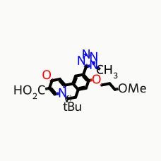 COCCCOc1cc2c(cc1-c1nnnn1C)-c1cc(=O)c(C(=O)O)cn1[C@H](C(C)(C)C)C2